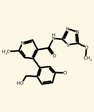 COc1nnc(NC(=O)c2cnc(C)cc2-c2cc(Cl)ccc2CO)s1